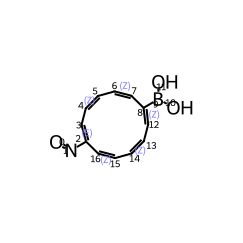 O=NC1=C/C=C\C=C/C(B(O)O)=C\C=C/C=C\1